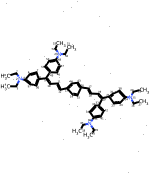 CCN(CC)c1ccc(C(=CC=Cc2ccc(C=CC=C(c3ccc(N(CC)CC)cc3)c3ccc(N(CC)CC)cc3)cc2)c2ccc(N(CC)CC)cc2)cc1